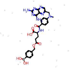 CN(Cc1cnc2nc(N)nc(N)c2n1)c1ccc(C(=O)NC(CCC(=O)OCc2ccc(B(O)O)cc2)C(=O)O)cc1